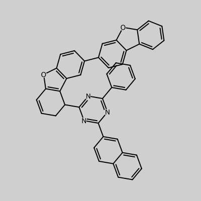 C1=Cc2oc3ccc(-c4ccc5c(c4)oc4ccccc45)cc3c2C(c2nc(-c3ccccc3)nc(-c3ccc4ccccc4c3)n2)C1